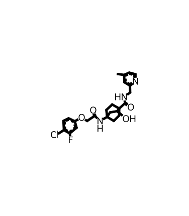 Cc1ccnc(CNC(=O)C23CCC(NC(=O)COc4ccc(Cl)c(F)c4)(CC2)CC3O)c1